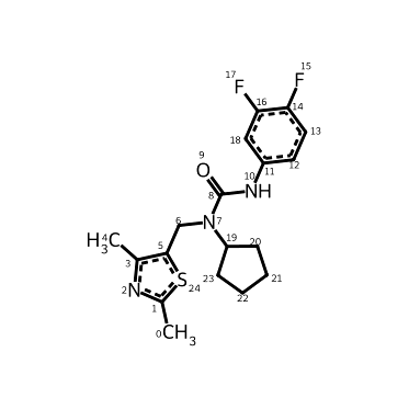 Cc1nc(C)c(CN(C(=O)Nc2ccc(F)c(F)c2)C2CCCC2)s1